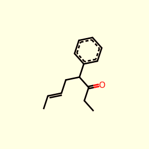 C/C=C/CC(C(=O)CC)c1ccccc1